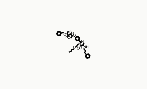 CCCCOC(=O)Cn1c(-c2ccc(O[C@@H]3CO[C@H]4[C@@H]3OC[C@H]4OCc3ccccc3)cc2)ncc(NCCCc2ccccc2)c1=O